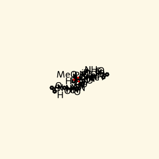 [C-]#[N+]CCOP(OC[C@H]1O[C@@H](n2ccc(NC(=O)CCCN(C)C(=O)OCC3c4ccccc4-c4ccccc43)nc2=O)CC1OP(OCCC=N)N(C(C)C)C(C)C)OC1C[C@H](C2CCc3c2nc(NC(=O)CCNC(=O)c2ccc(CNC(=O)OCC4c5ccccc5-c5ccccc54)cc2)[nH]c3=O)O[C@@H]1COC(c1ccccc1)(c1ccc(OC)cc1)c1ccc(OC)cc1